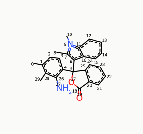 Cc1ccc(C2(c3c(C)n(C)c4ccccc34)OC(=O)c3ccccc32)c(N)c1C